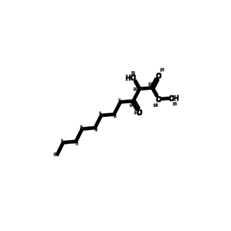 CCCCCCCCC(=O)C(O)C(=O)OO